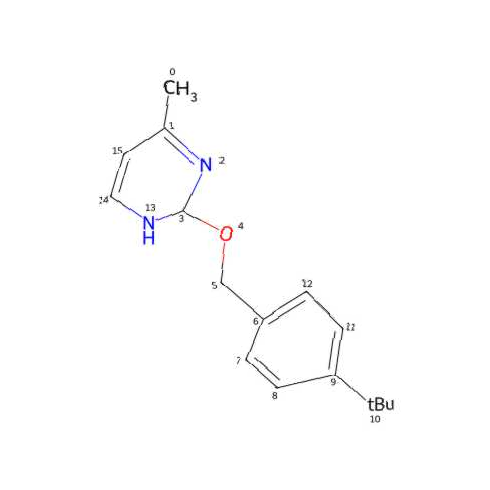 CC1=NC(OCc2ccc(C(C)(C)C)cc2)NC=C1